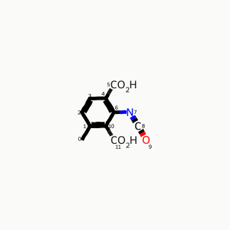 Cc1ccc(C(=O)O)c(N=C=O)c1C(=O)O